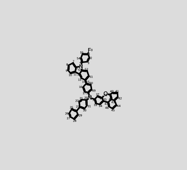 Fc1ccc(-n2c3ccccc3c3cc(-c4ccc(N(c5ccc(-c6ccccc6)cc5)c5ccc6c(c5)Oc5cccc7cccc-6c57)cc4)ccc32)cc1